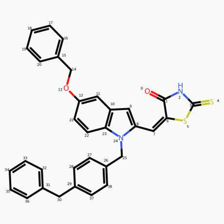 O=C1NC(=S)S/C1=C/c1cc2cc(OCc3ccccc3)ccc2n1Cc1ccc(Cc2ccccc2)cc1